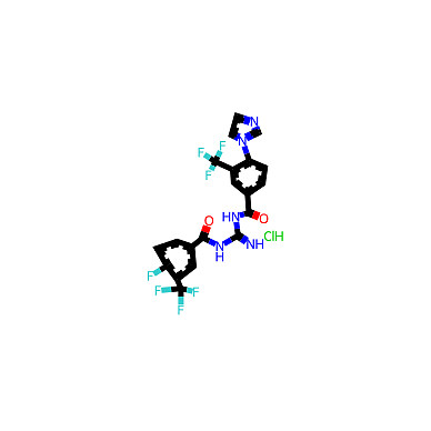 Cl.N=C(NC(=O)c1ccc(F)c(C(F)(F)F)c1)NC(=O)c1ccc(-n2ccnc2)c(C(F)(F)F)c1